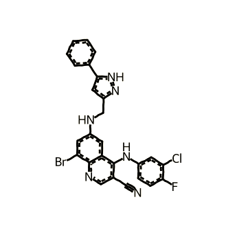 N#Cc1cnc2c(Br)cc(NCc3cc(-c4ccccc4)[nH]n3)cc2c1Nc1ccc(F)c(Cl)c1